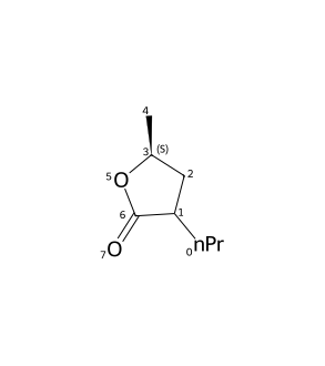 CCCC1C[C@H](C)OC1=O